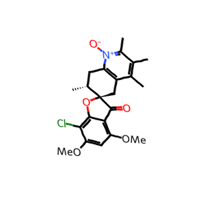 COc1cc(OC)c2c(c1Cl)O[C@@]1(Cc3c(C)c(C)c(C)[n+]([O-])c3C[C@H]1C)C2=O